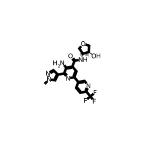 Cn1cc(-c2nc(-c3ccc(C(F)(F)F)nc3)cc(C(=O)N[C@@H]3COC[C@@H]3O)c2N)cn1